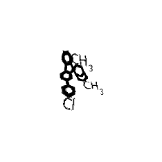 CC1CC2CC(C)C3(c4ccccc4-c4ccc(-c5ccc(Cl)cc5)cc43)C(C1)C2